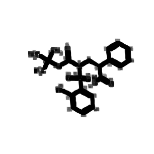 CC(C)(C)OC(=O)N(C[C@H](C(=O)O)c1ccccc1)S(=O)(=O)c1ccccc1Br